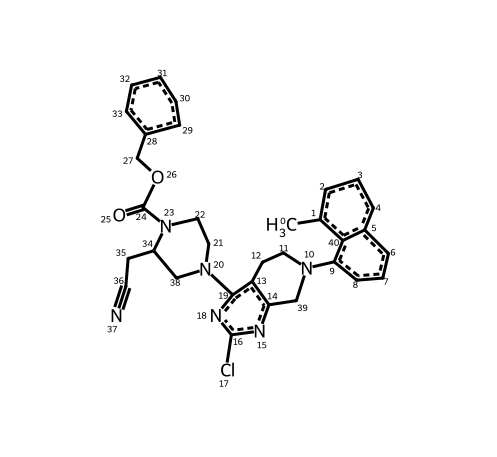 Cc1cccc2cccc(N3CCc4c(nc(Cl)nc4N4CCN(C(=O)OCc5ccccc5)C(CC#N)C4)C3)c12